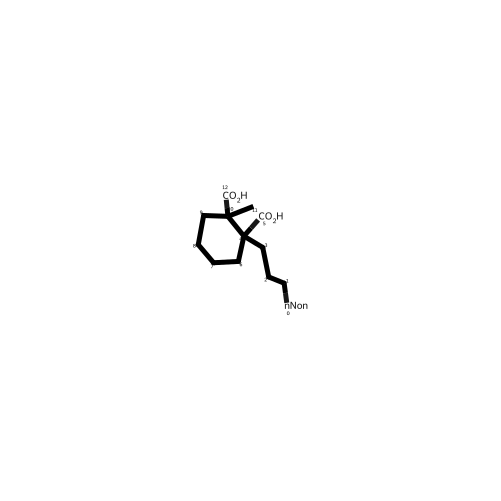 CCCCCCCCCCCCC1(C(=O)O)CCCCC1(C)C(=O)O